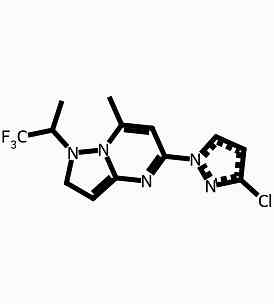 CC1=CC(n2ccc(Cl)n2)=NC2=CCN(C(C)C(F)(F)F)N12